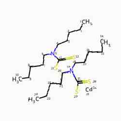 CCCCCN(CCCCC)C(=S)[S-].CCCCCN(CCCCC)C(=S)[S-].[Cd+2]